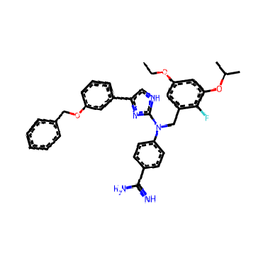 CCOc1cc(CN(c2ccc(C(=N)N)cc2)c2nc(-c3cccc(OCc4ccccc4)c3)c[nH]2)c(F)c(OC(C)C)c1